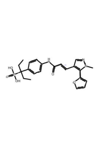 CCC(CC)(c1ccc(NC(=O)/C=C/c2cnn(C)c2-c2ccco2)cc1)P(=O)(O)O